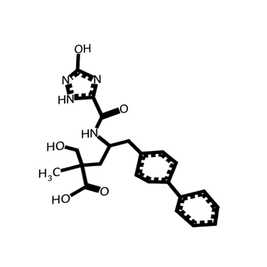 CC(CO)(CC(Cc1ccc(-c2ccccc2)cc1)NC(=O)c1nc(O)n[nH]1)C(=O)O